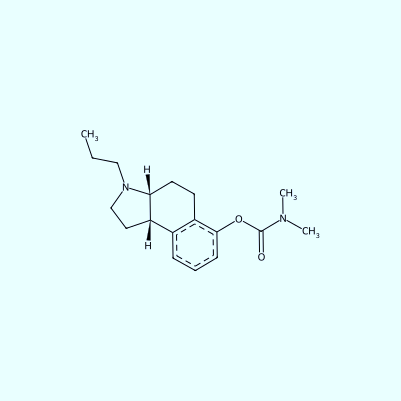 CCCN1CC[C@H]2c3cccc(OC(=O)N(C)C)c3CC[C@H]21